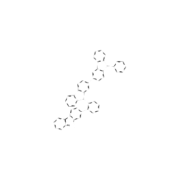 c1ccc(C2c3ccccc3-c3cc(-c4ccc5c(c4)C(c4ccccc4-c4ccc6c(c4)oc4ccccc46)c4ccccc4-5)ccc32)cc1